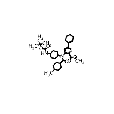 COC(=O)c1sc(C2=CCCCC2)cc1N(C(=O)C1CCC(C)CC1)C1CCC(NC(=O)OC(C)(C)C)CC1